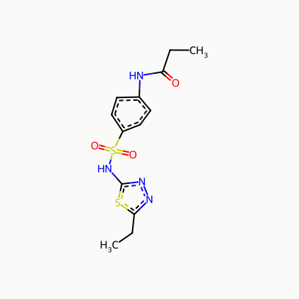 CCC(=O)Nc1ccc(S(=O)(=O)Nc2nnc(CC)s2)cc1